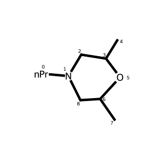 CCCN1CC(C)OC(C)C1